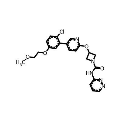 COCCOc1ccc(Cl)c(-c2ccc(OC3CN(C(=O)Nc4cccnn4)C3)nc2)c1